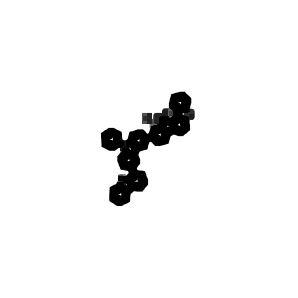 CC1(C)c2cc(-c3ccc4c(c3)c3cc(-c5cccc6c5sc5ccccc56)ccc3n4-c3ccccc3)ccc2-c2ccc3oc4ccccc4c3c21